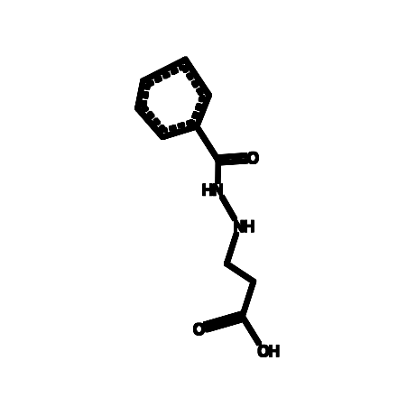 O=C(O)CCNNC(=O)c1ccccc1